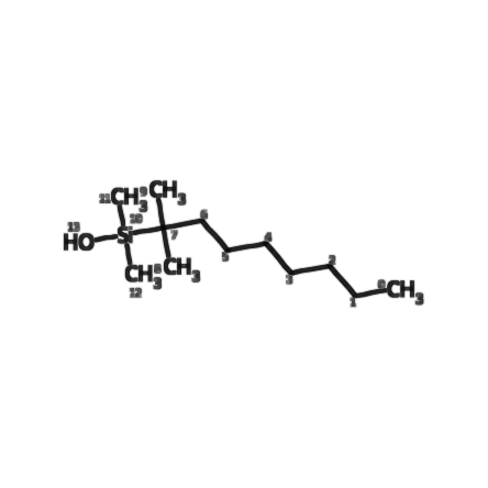 CCCCCCCC(C)(C)[Si](C)(C)O